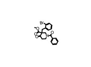 COC(=O)C1(Cc2ccccc2Br)CN(C(=O)c2ccccc2)CCC1=O